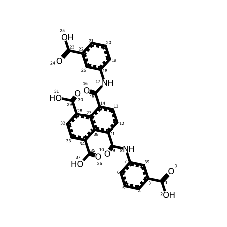 O=C(O)c1cccc(NC(=O)c2ccc(C(=O)Nc3cccc(C(=O)O)c3)c3c(C(=O)O)ccc(C(=O)O)c23)c1